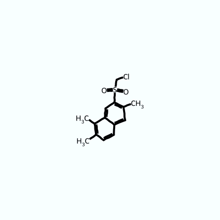 Cc1cc2ccc(C)c(C)c2cc1S(=O)(=O)CCl